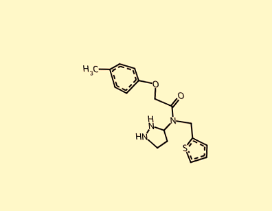 Cc1ccc(OCC(=O)N(Cc2cccs2)C2CCNN2)cc1